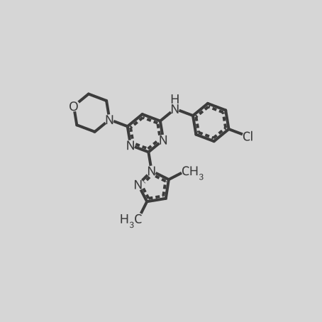 Cc1cc(C)n(-c2nc(Nc3ccc(Cl)cc3)cc(N3CCOCC3)n2)n1